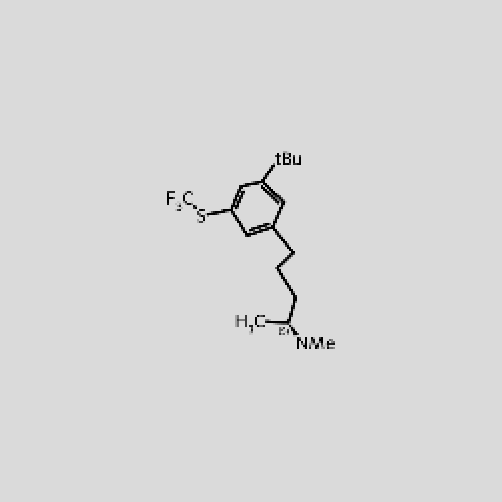 CN[C@@H](C)CCCc1cc(SC(F)(F)F)cc(C(C)(C)C)c1